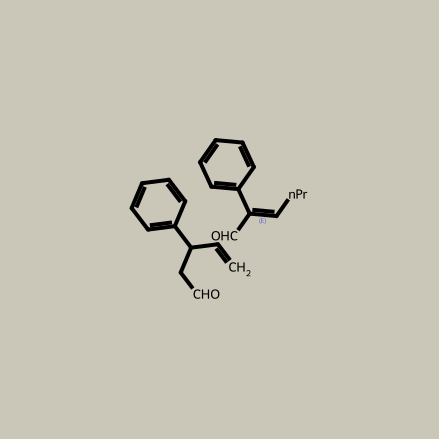 C=CC(CC=O)c1ccccc1.CCC/C=C(/C=O)c1ccccc1